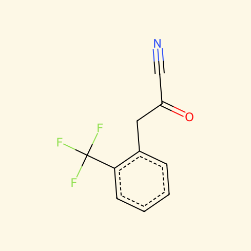 N#CC(=O)Cc1ccccc1C(F)(F)F